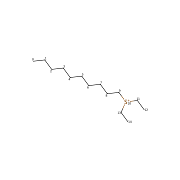 CCCCCCCCCC[S+](CC)CC